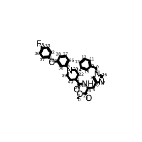 COC(=O)C(Cc1cn(Cc2ccccc2)cn1)NC(=O)C1CCN(c2cccc(Oc3ccc(F)cc3)c2)CC1